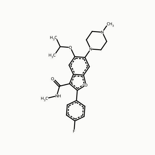 CNC(=O)c1c(-c2ccc(F)cc2)oc2cc(N3CCN(C)CC3)c(OC(C)C)cc12